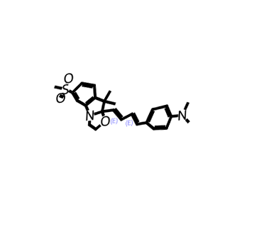 CN(C)c1ccc(/C=C/C=C/C23OCCN2c2cc(S(C)(=O)=O)ccc2C3(C)C)cc1